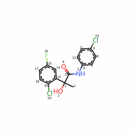 CC(O)(C(=O)Nc1ccc(Cl)cc1)c1cc(F)ccc1Cl